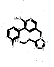 COc1ncc(Cn2nnnc2CCO)cc1-c1cccc(Cl)c1